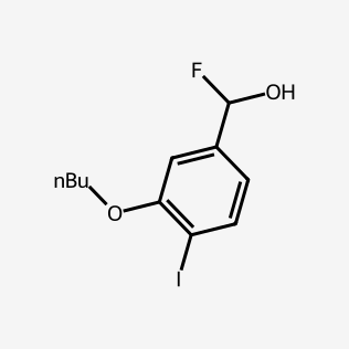 CCCCOc1cc(C(O)F)ccc1I